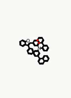 c1ccc(-c2ccccc2N(c2cccc(-c3oc4ccccc4c3-c3ccccc3)c2)c2cccc(-c3cccc4ccccc34)c2)cc1